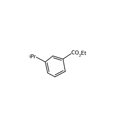 CCOC(=O)c1cccc([C](C)C)c1